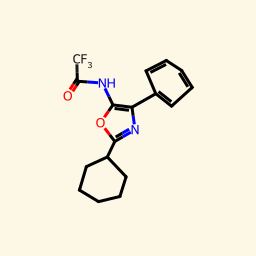 O=C(Nc1oc(C2CCCCC2)nc1-c1ccccc1)C(F)(F)F